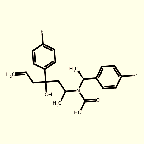 C=CCC(O)(CC(C)N(C(=O)O)[C@@H](C)c1ccc(Br)cc1)c1ccc(F)cc1